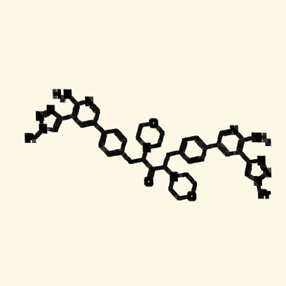 CC(C)n1cc(-c2cc(-c3ccc(CC(C(=O)C(Cc4ccc(-c5cnc(N)c(-c6cn(C(C)C)nn6)c5)cc4)N4CCOCC4)N4CCOCC4)cc3)cnc2N)nn1